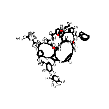 CN[C@H](CC(C)C)C(=O)N[C@H]1C(=O)NC(C(=O)NC(=O)c2ccc(OCCO)cc2)C(=O)N[C@H]2C(=O)N[C@H]3C(=O)N[C@H](C(=O)N[C@H](C(=O)NC4C5CC6CC(C5)CC4C6)c4cc(O)cc(O)c4-c4cc3ccc4O)[C@H](O)c3ccc(c(Cl)c3)Oc3cc2cc(c3O[C@@H]2C[C@H](CO)[C@@H](O)[C@H](O)[C@H]2O[C@H]2C[C@](C)(N)[C@H](O)[C@H](C)O2)Oc2ccc(cc2C)[C@H]1O